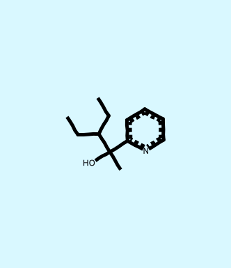 CCC(CC)C(C)(O)c1ccccn1